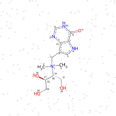 C[N+](C)(Cc1c[nH]c2c(=O)[nH]cnc12)[C@H](CO)[C@H](O)CO